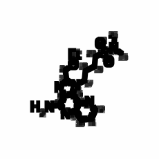 CCOCc1nc2c(N)nc3cccnc3c2n1CCCCS(=O)(=O)N(C)C